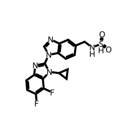 O=[SH](=O)NCc1ccc2c(c1)ncn2-c1nc2ccc(F)c(F)c2n1C1CC1